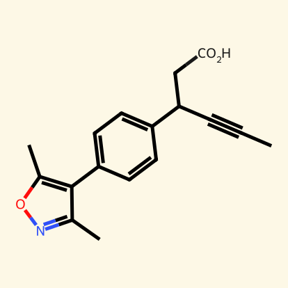 CC#CC(CC(=O)O)c1ccc(-c2c(C)noc2C)cc1